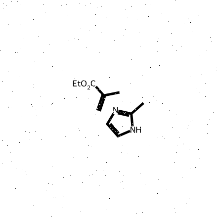 C=C(C)C(=O)OCC.Cc1ncc[nH]1